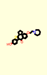 O=C(c1ccc(OCCN2CCCCCC2)cc1)c1c(C2CCCC2)sc2cc(O)ccc12